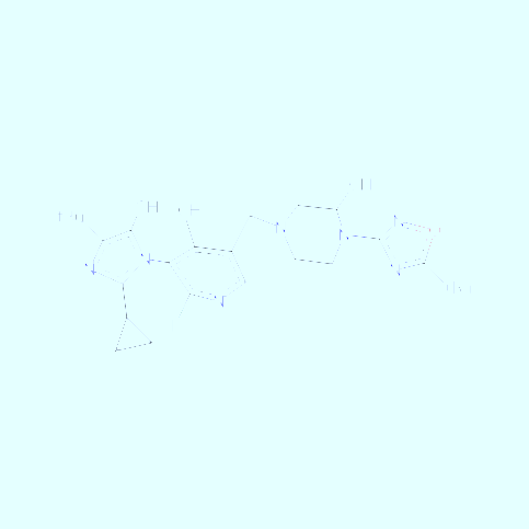 Cc1c(CN2CCN(c3noc(C(C)(C)C)n3)C(C)C2)cnc(F)c1-n1c(C2CC2)nc(C(C)(C)C)c1C